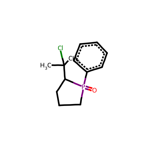 CC(C)(Cl)C1CCCP1(=O)c1ccccc1